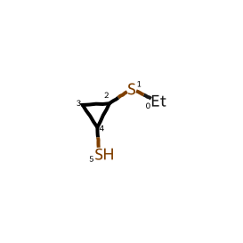 CCSC1CC1S